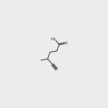 C#CC(C)CCC(=O)S